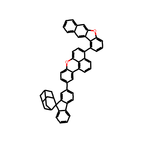 c1ccc2c(c1)-c1ccc(-c3ccc4c(c3)-c3cccc5c(-c6cccc7oc8cc9ccccc9cc8c67)ccc(c35)O4)cc1C21C2CC3CC(C2)CC1C3